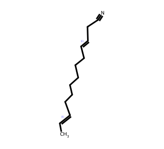 C/C=C/CCCCCC/C=C/CC#N